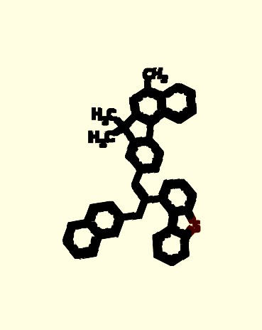 Cc1cc2c(c3ccccc13)-c1ccc(/C=C(/Cc3ccc4ccccc4c3)c3cccc4sc5ccccc5c34)cc1C2(C)C